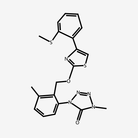 CSc1ccccc1-c1csc(OCc2c(C)cccc2-n2nnn(C)c2=O)n1